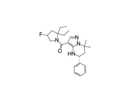 CCC1(CC)CC(F)CN1C(=O)c1cnn2c1N[C@@H](c1ccccc1)CC2(C)C